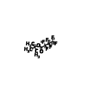 CC(C)(C)OC(=O)C(F)(F)C(F)(F)[C](F)F